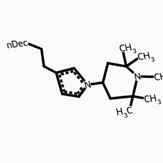 CCCCCCCCCCCCc1ccn(C2CC(C)(C)N(C)C(C)(C)C2)c1